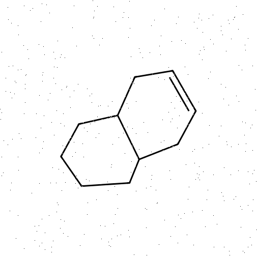 C1=CCC2CCCCC2C1